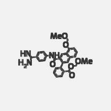 COCOC(=O)c1ccccc1-c1cc2cccc(OCOC)c2cc1C(=O)Nc1ccc(C(=N)N)cc1